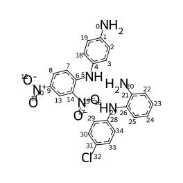 Nc1ccc(Nc2ccc([N+](=O)[O-])cc2[N+](=O)[O-])cc1.Nc1ccccc1Nc1ccc(Cl)cc1